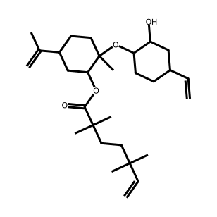 C=CC1CCC(OC2(C)CCC(C(=C)C)CC2OC(=O)C(C)(C)CCC(C)(C)C=C)C(O)C1